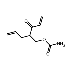 C=CCC(COC(N)=O)C(=O)C=C